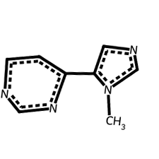 Cn1cncc1-c1ccncn1